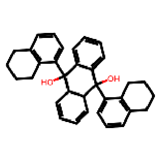 OC1(c2cccc3c2CCCC3)c2ccccc2C(O)(c2cccc3c2CCCC3)C2C=CC=CC21